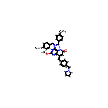 CCCCOc1nc(N(Cc2ccc(OC)cc2)Cc2ccc(OC)cc2)c2[nH]c(=O)cc(Cc3ccc(CN4CCCC4)cc3)c2n1